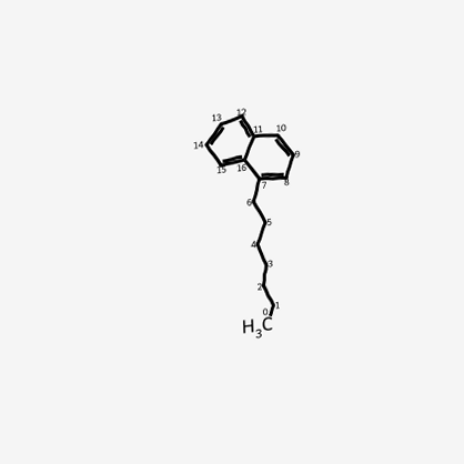 CCCCCCCc1cccc2ccccc12